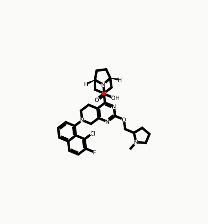 CN1CCCC1COc1nc2c(c(N3C[C@H]4CC[C@@H](C3)N4C(=O)O)n1)CCN(c1cccc3ccc(F)c(Cl)c13)C2